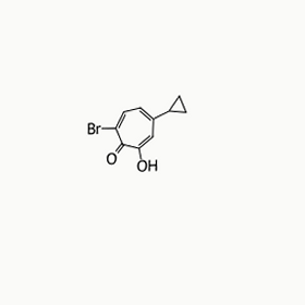 O=c1c(O)cc(C2CC2)ccc1Br